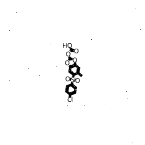 Cc1cc2c(cc1S(=O)(=O)c1ccc(Cl)cc1)OC(OC(=O)O)O2